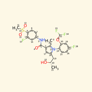 Cc1c(C(=O)Nc2ccc(S(C)(=O)=O)c(F)c2)cc(C[C@H](C)O)n1-c1ccc(F)cc1OC(F)F